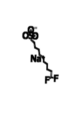 O=S(=O)([O-])CCCCCCCCCCC(F)F.[Na+]